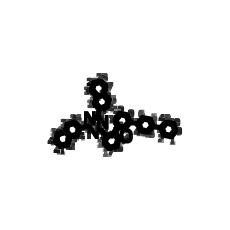 c1ccc(-c2ccc(-c3cccc4c3oc3cccc(-c5nc(-c6ccc7ccccc7c6)nc(-c6ccc7ccccc7c6)n5)c34)cc2)cc1